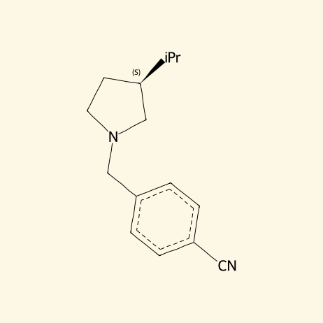 CC(C)[C@@H]1CCN(Cc2ccc(C#N)cc2)C1